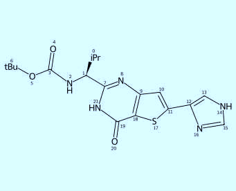 CC(C)[C@H](NC(=O)OC(C)(C)C)c1nc2cc(-c3c[nH]cn3)sc2c(=O)[nH]1